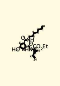 C=CCCCCCNC(=O)[C@@H]1C[C@@H](O)C[C@H]1C(=O)N[C@]1(C(=O)OCC)CC1C=C